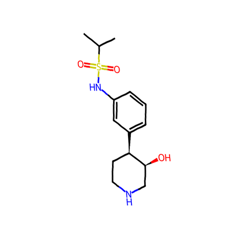 CC(C)S(=O)(=O)Nc1cccc([C@@H]2CCNC[C@@H]2O)c1